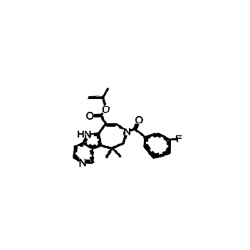 CC(C)OC(=O)C1=CN(C(=O)c2cccc(F)c2)CC(C)(C)c2c1[nH]c1ccncc21